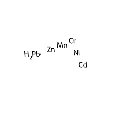 [Cd].[Cr].[Mn].[Ni].[PbH2].[Zn]